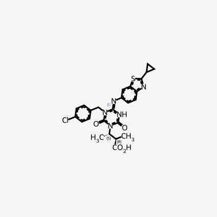 C[C@@H](C(=O)O)[C@H](C)n1c(=O)[nH]/c(=N\c2ccc3nc(C4CC4)sc3c2)n(Cc2ccc(Cl)cc2)c1=O